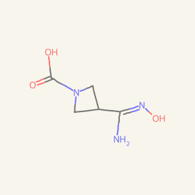 NC(=NO)C1CN(C(=O)O)C1